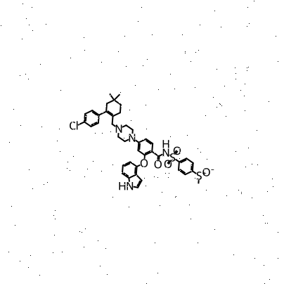 C[S+]([O-])c1ccc(S(=O)(=O)NC(=O)c2ccc(N3CCN(CC4=C(c5ccc(Cl)cc5)CC(C)(C)CC4)CC3)cc2Oc2cccc3[nH]ccc23)cc1